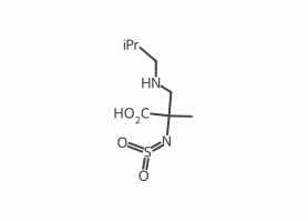 CC(C)CNCC(C)(N=S(=O)=O)C(=O)O